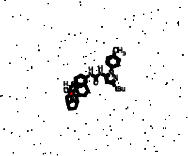 Cc1ccc(-n2nc(C(C)(C)C)cc2NC(=O)Nc2ccc(CC3CC4CCC(C3)N4C(=O)C3(C)CCCCC3)cc2)cc1